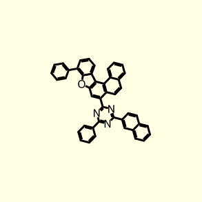 c1ccc(-c2nc(-c3ccc4ccccc4c3)nc(-c3cc4oc5c(-c6ccccc6)cccc5c4c4c3ccc3ccccc34)n2)cc1